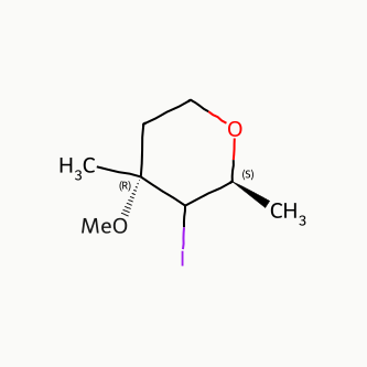 CO[C@]1(C)CCO[C@@H](C)C1I